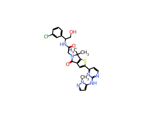 Cn1nccc1Nc1nccc(-c2cc3c(s2)C(C)(C)N(CC(=O)NC(CO)c2cccc(Cl)c2)C3=O)n1